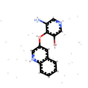 Nc1cncc(Br)c1Oc1cnc2ccccc2c1